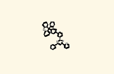 c1ccc(-c2cc(-c3ccccn3)nc(-c3cccc(-c4ccc(C5(c6ccccc6)c6ccccc6Oc6ccccc65)cc4)c3)n2)cc1